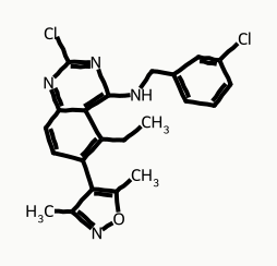 CCc1c(-c2c(C)noc2C)ccc2nc(Cl)nc(NCc3cccc(Cl)c3)c12